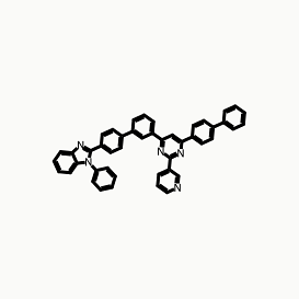 c1ccc(-c2ccc(-c3cc(-c4cccc(-c5ccc(-c6nc7ccccc7n6-c6ccccc6)cc5)c4)nc(-c4cccnc4)n3)cc2)cc1